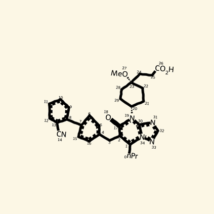 CCCc1c(Cc2ccc(-c3ccccc3C#N)cc2)c(=O)n([C@H]2CC[C@@](CCC(=O)O)(OC)CC2)c2ncnn12